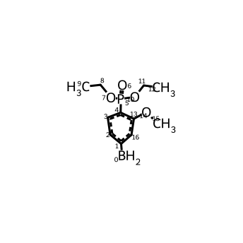 Bc1ccc(P(=O)(OCC)OCC)c(OC)c1